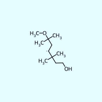 COC(C)(C)C[CH]C(C)(C)CCO